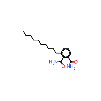 CCCCCCCCCCc1cccc(C(N)=O)c1C(N)=O